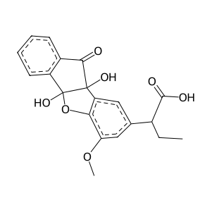 CCC(C(=O)O)c1cc(OC)c2c(c1)C1(O)C(=O)c3ccccc3C1(O)O2